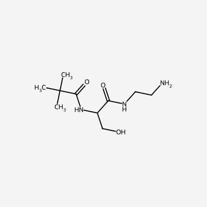 CC(C)(C)C(=O)NC(CO)C(=O)NCCN